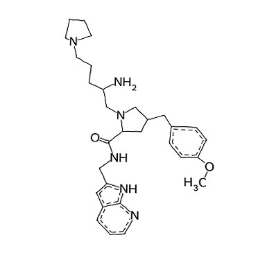 COc1ccc(CC2CC(C(=O)NCc3cc4cccnc4[nH]3)N(CC(N)CCCN3CCCC3)C2)cc1